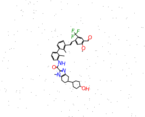 COc1cc(/C=C/c2cccc(-c3cccc(NC(=O)c4nc5c(n4C)CCC(C4CCC(O)CC4)C5)c3C)c2C)c(C(F)(F)F)cc1C=O